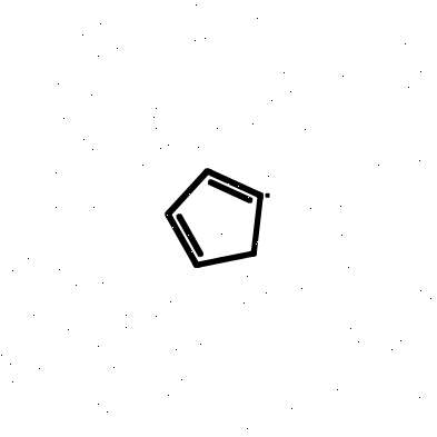 [C]1=CC=CC1